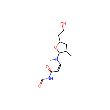 CC1CC(CCO)OC1N(C)/C=C\C(=O)NC=O